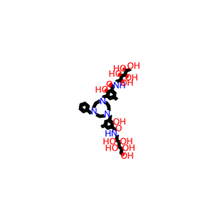 Cc1cc(CN2CCCN(Cc3ccccc3)CCCN(Cc3cc(C)cc(C(=O)NCC(O)C(O)C(O)C(O)CO)c3O)CCC2)c(O)c(C(=O)NCC(O)C(O)C(O)C(O)CO)c1